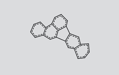 c1ccc2cc3c(cc2c1)-c1cccc2c1c-3cc1ccccc12